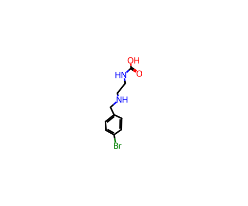 O=C(O)NCCNCc1ccc(Br)cc1